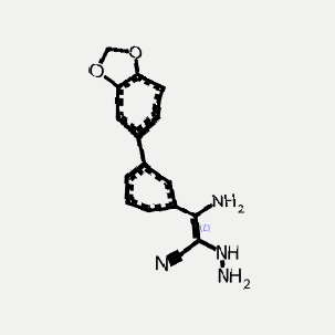 N#C/C(NN)=C(/N)c1cccc(-c2ccc3c(c2)OCO3)c1